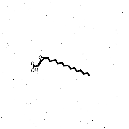 CCCCCCCCCCCCCC=C1OC1=CC(=O)O